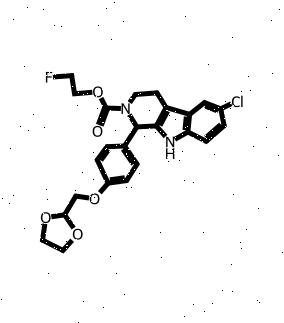 O=C(OCCF)N1CCc2c([nH]c3ccc(Cl)cc23)C1c1ccc(OCC2OCCO2)cc1